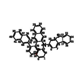 c1ccc(N(c2ccc3c(c2)sc2ccccc23)c2cc3ccccc3cc2-c2ccccc2-c2ccc3ccccc3c2)cc1